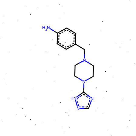 Nc1ccc(CN2CCN(c3ncn[nH]3)CC2)cc1